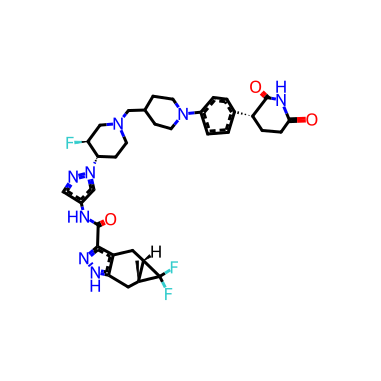 C[C@@]12Cc3[nH]nc(C(=O)Nc4cnn([C@H]5CCN(CC6CCN(c7ccc([C@H]8CCC(=O)NC8=O)cc7)CC6)C[C@@H]5F)c4)c3C[C@@H]1C2(F)F